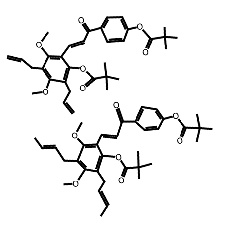 C=CCc1c(OC)c(C=CC(=O)c2ccc(OC(=O)C(C)(C)C)cc2)c(OC(=O)C(C)(C)C)c(CC=C)c1OC.CC=CCc1c(OC)c(C=CC(=O)c2ccc(OC(=O)C(C)(C)C)cc2)c(OC(=O)C(C)(C)C)c(CC=CC)c1OC